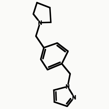 c1cnn(Cc2ccc(CN3CCCC3)cc2)c1